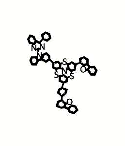 c1ccc(-c2nc(-n3c4ccccc4c4cc(-c5cc6c7c(c5)Sc5cc(-c8cccc9c8oc8ccccc89)cc8c5N7c5c(cc(-c7ccc(-c9cccc%10c9oc9ccccc9%10)cc7)cc5S8)S6)ccc43)nc3ccccc23)cc1